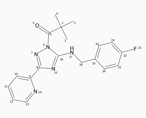 CC(C)(C)C(=O)n1nc(-c2ccccn2)nc1NCc1ccc(F)cc1